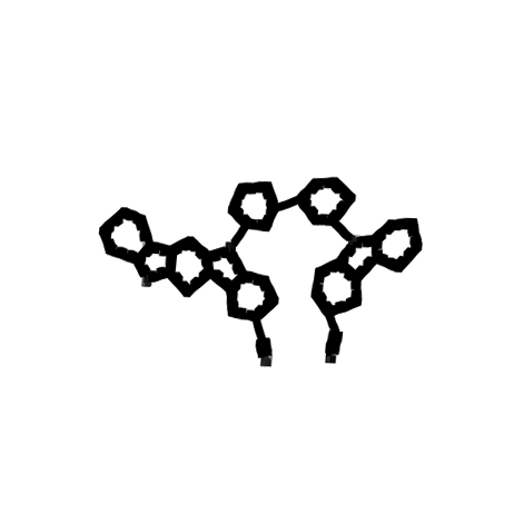 N#Cc1ccc2c(c1)c1ccccc1n2-c1cccc(-c2cccc(-n3c4ccc(C#N)cc4c4cc5sc6ccccc6c5cc43)c2)c1